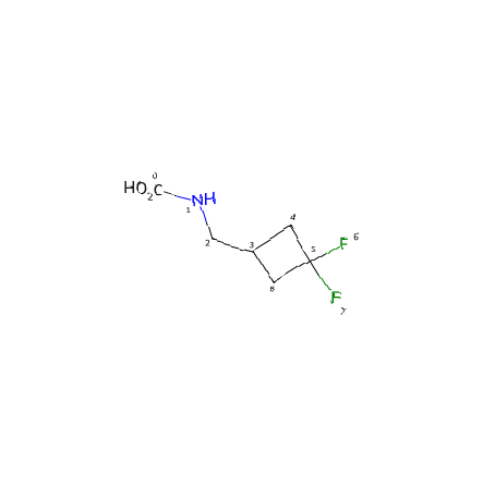 O=C(O)NCC1CC(F)(F)C1